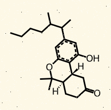 CCCCC(C)C(C)c1cc(O)c2c(c1)OC(C)(C)[C@@H]1CCC(=O)C[C@@H]21